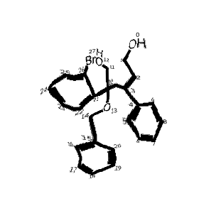 OCCC(c1ccccc1)C(CO)(OCc1ccccc1)c1ccccc1Br